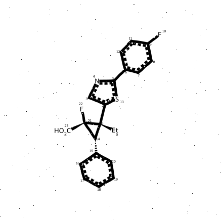 CC[C@@]1(c2cnc(-c3ccc(F)cc3)s2)[C@H](c2ccccc2)[C@@]1(F)C(=O)O